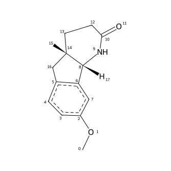 COc1ccc2c(c1)[C@H]1NC(=O)CC[C@@]1(C)C2